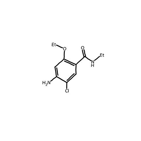 CCNC(=O)c1cc(Cl)c(N)cc1OCC